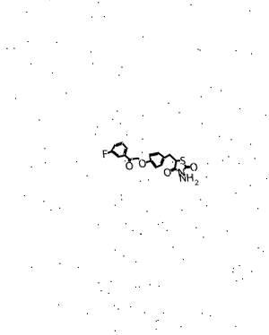 NN1C(=O)SC(Cc2ccc(OCC(=O)c3cccc(F)c3)cc2)C1=O